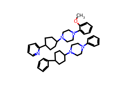 COc1ccccc1N1CCN(C2CCC(c3ccccn3)CC2)CC1.c1ccc(C2CCC(N3CCN(c4ccccc4)CC3)CC2)cc1